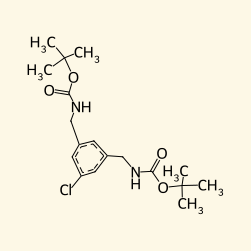 CC(C)(C)OC(=O)NCc1cc(Cl)cc(CNC(=O)OC(C)(C)C)c1